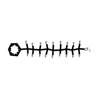 FC(F)(F)C(F)(F)C(F)(F)C(F)(F)C(F)(F)C(F)(F)C(F)(F)C(F)(F)C(F)(F)C(F)(F)c1ccccc1